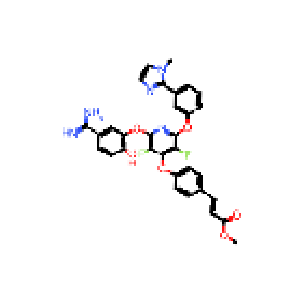 COC(=O)C=Cc1ccc(Oc2c(F)c(Oc3cccc(-c4nccn4C)c3)nc(Oc3cc(C(=N)N)ccc3O)c2F)cc1